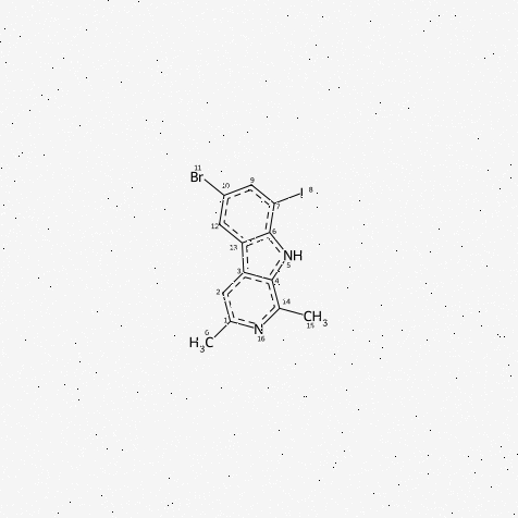 Cc1cc2c([nH]c3c(I)cc(Br)cc32)c(C)n1